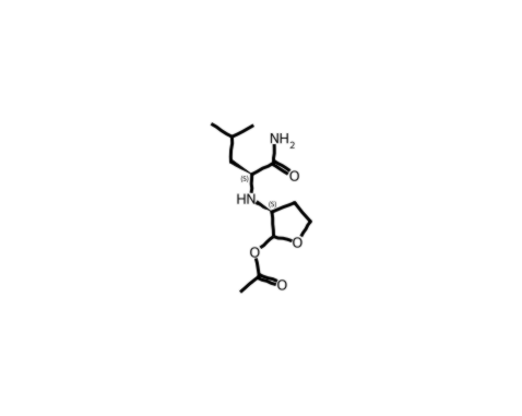 CC(=O)OC1OCC[C@@H]1N[C@@H](CC(C)C)C(N)=O